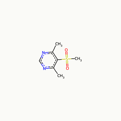 Cc1ncnc(C)c1S(C)(=O)=O